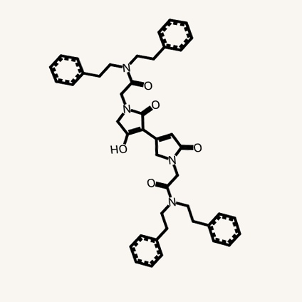 O=C1C=C(C2=C(O)CN(CC(=O)N(CCc3ccccc3)CCc3ccccc3)C2=O)CN1CC(=O)N(CCc1ccccc1)CCc1ccccc1